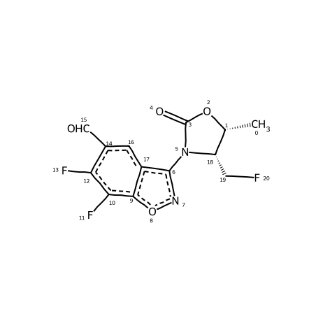 C[C@H]1OC(=O)N(c2noc3c(F)c(F)c(C=O)cc23)[C@H]1CF